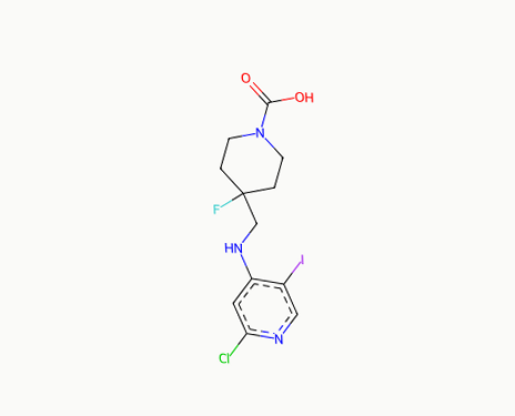 O=C(O)N1CCC(F)(CNc2cc(Cl)ncc2I)CC1